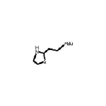 CCCCCCC1NCCS1